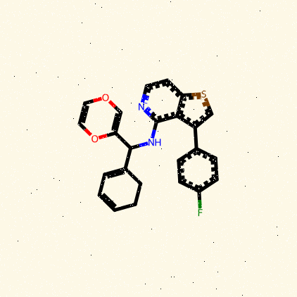 Fc1ccc(-c2csc3ccnc(NC(C4=CC=CCC4)C4=COC=CO4)c23)cc1